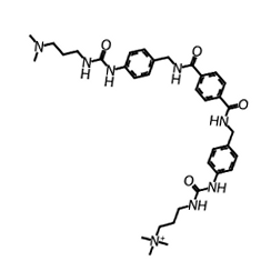 CN(C)CCCNC(=O)Nc1ccc(CNC(=O)c2ccc(C(=O)NCc3ccc(NC(=O)NCCC[N+](C)(C)C)cc3)cc2)cc1